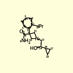 CC(C)c1ccccc1C1(C(N)=O)CN(CC(O)C2CC2)C1